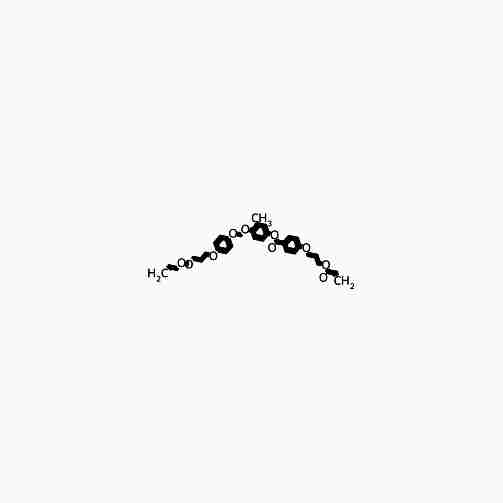 C=CCOOCCCOc1ccc(OCOc2ccc(OC(=O)c3ccc(OCCCOC(=O)C=C)cc3)cc2C)cc1